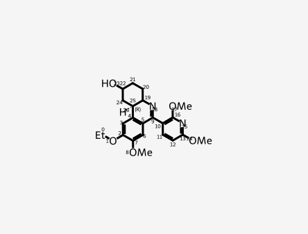 CCOc1cc2c(cc1OC)C(c1ccc(OC)nc1OC)=NC1CCC(O)C[C@H]21